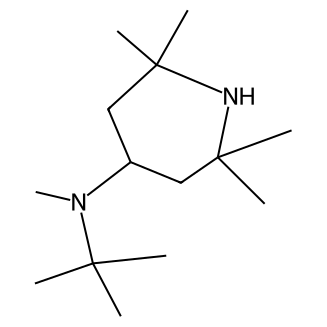 CN(C1CC(C)(C)NC(C)(C)C1)C(C)(C)C